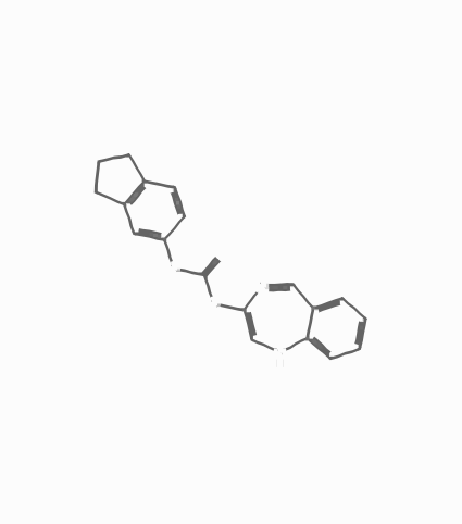 Cl.O=C(NC1=CNc2ccccc2C=N1)Nc1ccc2c(c1)CCC2